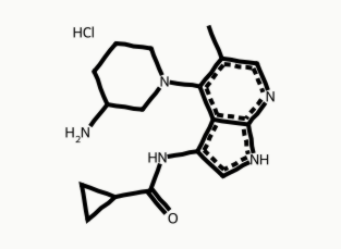 Cc1cnc2[nH]cc(NC(=O)C3CC3)c2c1N1CCCC(N)C1.Cl